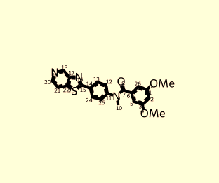 COc1cc(OC)cc(C(=O)N(C)c2ccc(-c3nc4cnccc4s3)cc2)c1